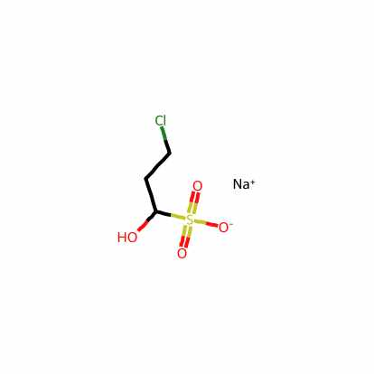 O=S(=O)([O-])C(O)CCCl.[Na+]